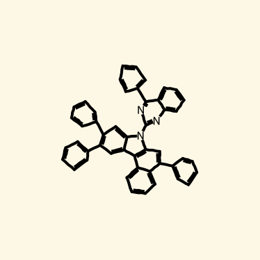 c1ccc(-c2cc3c4c5ccccc5c(-c5ccccc5)cc4n(-c4nc(-c5ccccc5)c5ccccc5n4)c3cc2-c2ccccc2)cc1